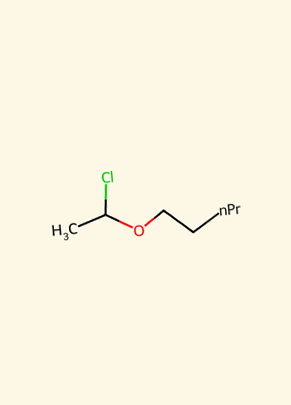 CCCCCOC(C)Cl